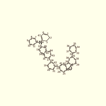 C1=CCCC(N(c2ccccc2)c2ccc3cc(-c4cccc(-c5ccc6oc7ccc(-c8ccccc8)cc7c6c5)c4)ccc3c2)=C1